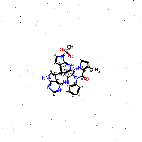 Cc1ccn2nc([C@H](C)Nc3ncnc4[nH]cc(-c5ccnc6c5ccn6S(C)(=O)=O)c34)n(-c3ccccc3)c(=O)c12